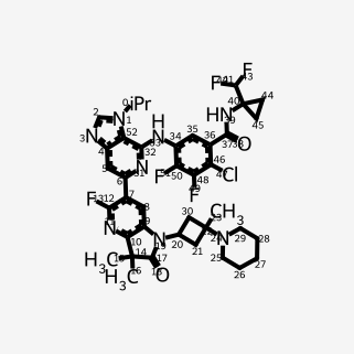 CC(C)n1cnc2cc(-c3cc4c(nc3F)C(C)(C)C(=O)N4C3CC(C)(N4CCCCC4)C3)nc(Nc3cc(C(=O)NC4(C(F)F)CC4)c(Cl)c(F)c3F)c21